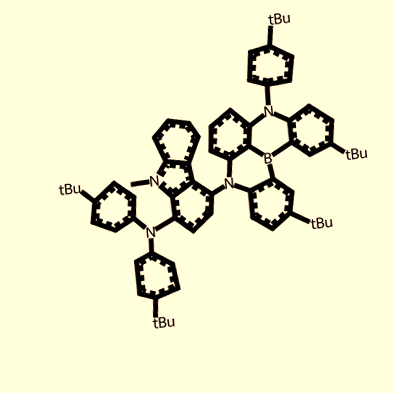 Cn1c2ccccc2c2c(N3c4ccc(C(C)(C)C)cc4B4c5cc(C(C)(C)C)ccc5N(c5ccc(C(C)(C)C)cc5)c5cccc3c54)ccc(N(c3ccc(C(C)(C)C)cc3)c3ccc(C(C)(C)C)cc3)c21